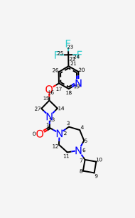 O=C(N1CCCN(C2CCC2)CC1)N1CC(Oc2cncc(C(F)(F)F)c2)C1